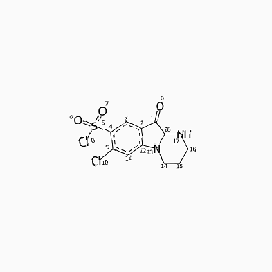 O=C1c2cc(S(=O)(=O)Cl)c(Cl)cc2N2CCCNC12